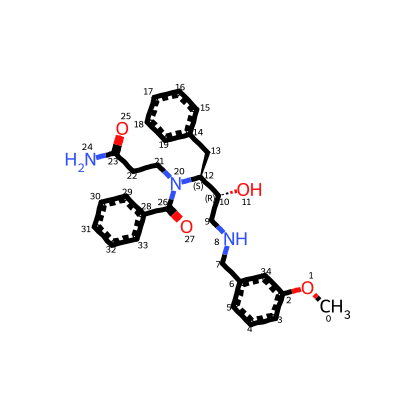 COc1cccc(CNC[C@@H](O)[C@H](Cc2ccccc2)N(CCC(N)=O)C(=O)c2ccccc2)c1